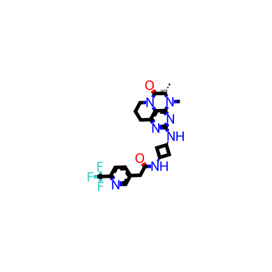 C[C@H]1C(=O)N2CCCc3nc(N[C@H]4C[C@H](NC(=O)Cc5ccc(C(F)(F)F)nc5)C4)nc(c32)N1C